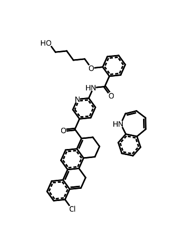 C1=CNc2ccccc2C=C1.O=C(C1=c2ccc3c(c2CCC1)CC=c1c(Cl)cccc1=3)c1ccc(NC(=O)c2ccccc2OCCCCO)nc1